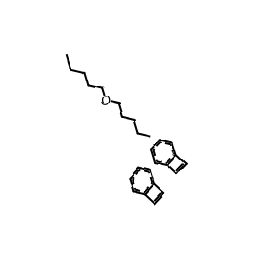 C1=Cc2ccccc21.C1=Cc2ccccc21.CCCCCOCCCCC